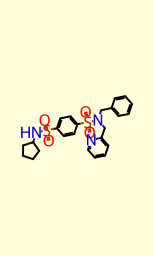 O=S(=O)(NC1CCCC1)c1ccc(S(=O)(=O)N(Cc2ccccc2)Cc2ccccn2)cc1